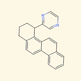 c1ccc2c(c1)ccc1c3c(ccc12)CCCC3c1cnccn1